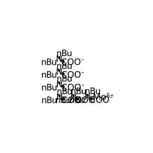 CCCCN(CCCC)C(=O)[O-].CCCCN(CCCC)C(=O)[O-].CCCCN(CCCC)C(=O)[O-].CCCCN(CCCC)C(=O)[O-].CCCCN(CCCC)C(=O)[O-].CCCCN(CCCC)C(=O)[O-].[Mo+6]